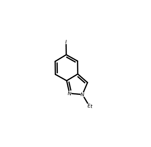 CCn1cc2cc(I)ccc2n1